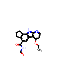 CCOc1ccnc2[nH]c3c4c(c(C(=O)NC=O)cc3c12)CCC4